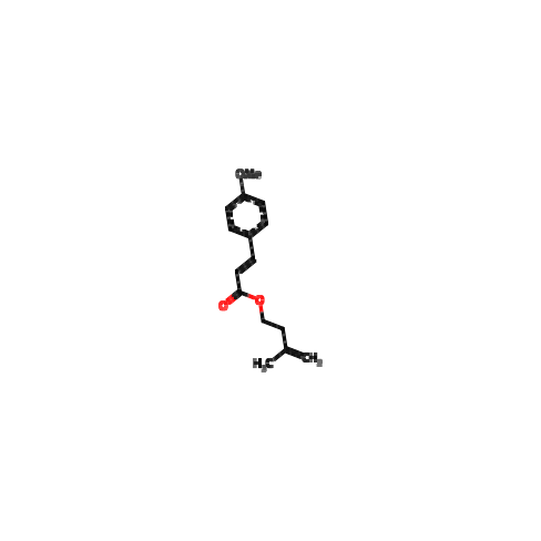 C=C(C)CCOC(=O)C=Cc1ccc(OC)cc1